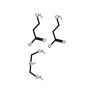 CCCC(=O)[O-].CCCC(=O)[O-].C[CH2][Sn+2][CH2]C